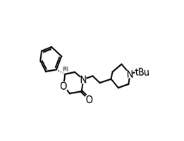 CC(C)(C)N1CCC(CCN2C[C@@H](c3ccccc3)OCC2=O)CC1